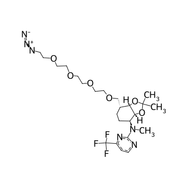 CN(c1nccc(C(F)(F)F)n1)[C@H]1CC[C@H](COCCOCCOCCOCCN=[N+]=[N-])[C@@H]2OC(C)(C)O[C@@H]21